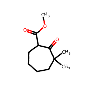 COC(=O)C1CCCCC(C)(C)C1=O